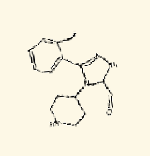 O=CC1NN=C(c2ccccc2F)N1C1CCNCC1